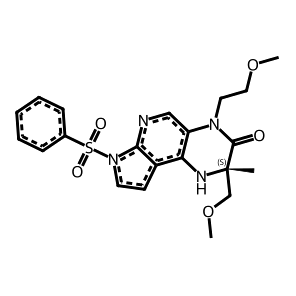 COCCN1C(=O)[C@](C)(COC)Nc2c1cnc1c2ccn1S(=O)(=O)c1ccccc1